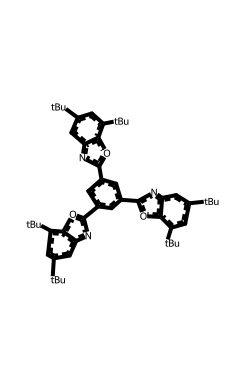 CC(C)(C)c1cc(C(C)(C)C)c2oc(-c3cc(-c4nc5cc(C(C)(C)C)cc(C(C)(C)C)c5o4)cc(-c4nc5cc(C(C)(C)C)cc(C(C)(C)C)c5o4)c3)nc2c1